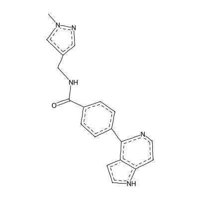 Cn1cc(CNC(=O)c2ccc(-c3nccc4[nH]ccc34)cc2)cn1